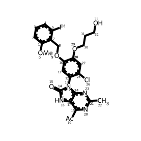 COc1cccc(F)c1COc1cc(-n2c(=O)[nH]c3c(C(C)=O)nc(C)nc32)c(Cl)cc1OCCCO